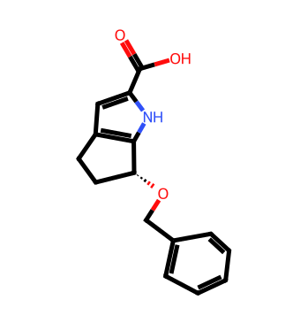 O=C(O)c1cc2c([nH]1)[C@H](OCc1ccccc1)CC2